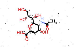 CC(=O)N[C@@H]1C(O)C=C(C(=O)O)OC1[C@H](O)[C@H](O)CO